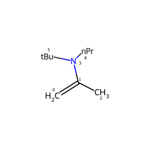 C=C(C)N(CCC)C(C)(C)C